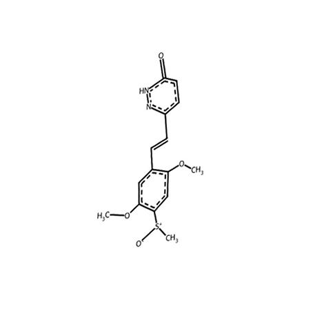 COc1cc([S+](C)[O-])c(OC)cc1C=Cc1ccc(=O)[nH]n1